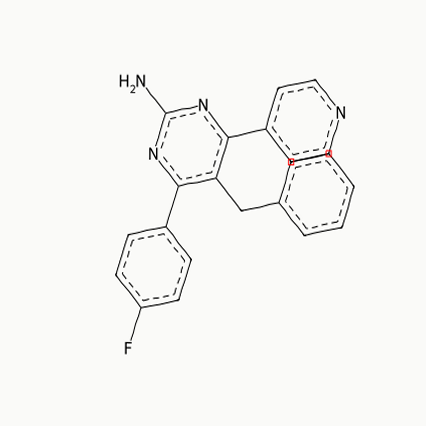 Nc1nc(-c2ccncc2)c(Cc2ccccc2)c(-c2ccc(F)cc2)n1